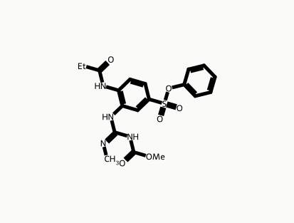 CCC(=O)Nc1ccc(S(=O)(=O)Oc2ccccc2)cc1NC(=NC)NC(=O)OC